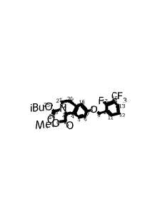 COC(=O)C1c2ccc(OCc3cccc(C(F)(F)F)c3F)cc2CCN1C(=O)OCC(C)C